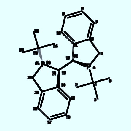 CC(C)(C)P1Cc2ccccc2[C@@H]1[C@H]1c2ccccc2C[P@]1C(C)(C)C